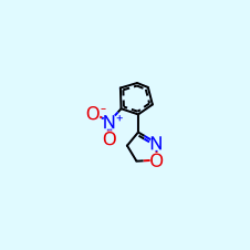 O=[N+]([O-])c1ccccc1C1=NOCC1